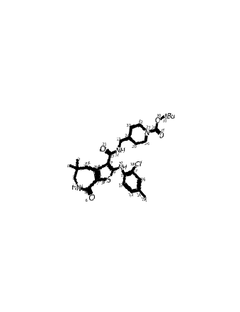 CC1(C)CNC(=O)c2sc(Nc3ccc(I)cc3Cl)c(C(=O)NCC3CCN(C(=O)OC(C)(C)C)CC3)c2C1